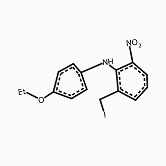 CCOc1ccc(Nc2c(CI)cccc2[N+](=O)[O-])cc1